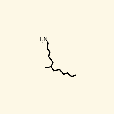 CCCCCCC(C)CCCCCN